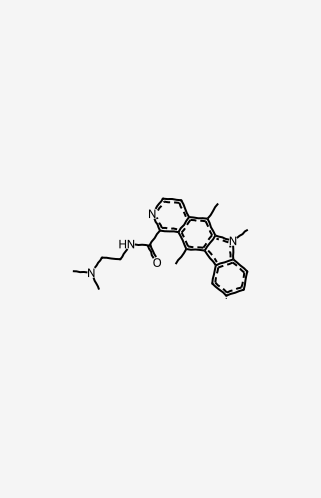 Cc1c2c(C(=O)NCCN(C)C)nccc2c(C)c2c1c1c[c]ccc1n2C